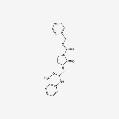 COC(C=C1CCN(C(=O)OCc2ccccc2)C1=O)Nc1ccccc1